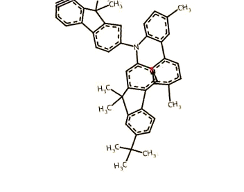 Cc1ccc(-c2cc(C)ccc2N(c2ccc3c(c2)C(C)(C)c2c#cccc2-3)c2ccc3c(c2)C(C)(C)c2cc(C(C)(C)C)ccc2-3)cc1